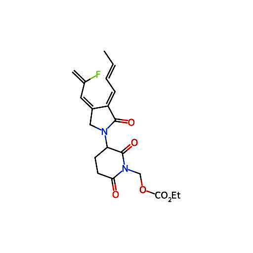 C=C(F)/C=C1/CN(C2CCC(=O)N(COC(=O)OCC)C2=O)C(=O)/C1=C/C=C/C